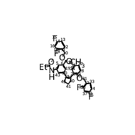 CCC(=O)Nc1cc(C(=O)OCc2ccc(F)cc2F)cc(C2=C(c3cc(C)ccc3OCc3ccc(F)cc3F)CCC2)c1